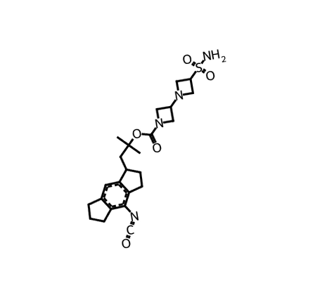 CC(C)(CC1CCc2c1cc1c(c2N=C=O)CCC1)OC(=O)N1CC(N2CC(S(N)(=O)=O)C2)C1